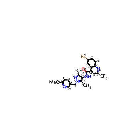 COc1ccc(Cn2nc(C(F)(F)F)c(NC(=O)c3cc(C(F)(F)F)nc4ccc(Br)cc34)c2C)cn1